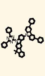 CC1(C)c2ccccc2-c2cc3c4cc(N5c6ccc(-c7ccccc7)cc6C6C=C(c7ccccc7)C=CC65)ccc4n(-c4nc(-c5ccccc5)nc(-c5ccccc5)n4)c3cc21